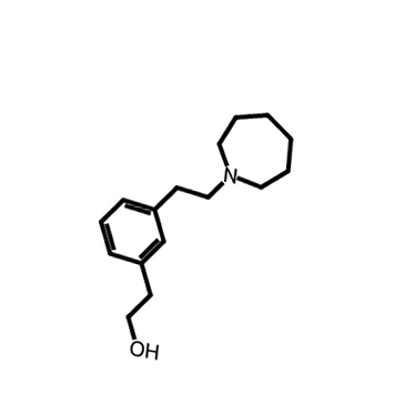 OCCc1cccc(CCN2CCCCCC2)c1